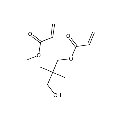 C=CC(=O)OC.C=CC(=O)OCC(C)(C)CO